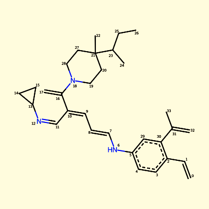 C=Cc1ccc(N/C=C/C=C(\C=N/C2CC2)C(=C)N2CCC(C)(C(C)CC)CC2)cc1C(=C)C